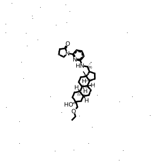 CCOC[C@@]1(O)CC[C@H]2[C@H](CC[C@@H]3[C@@H]2CC[C@]2(C)C([C@@H](C)Nc4cccc(N5CCCC5=O)n4)CC[C@@H]32)C1